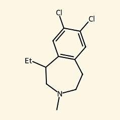 CCC1CN(C)CCc2cc(Cl)c(Cl)cc21